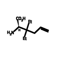 C=CCC(CC)(CC)[C@H](N)C(=O)O